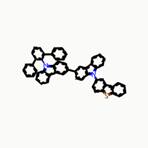 c1ccc(-c2cccc(-c3ccccc3)c2-n2c3ccccc3c3cc(-c4ccc5c(c4)c4ccccc4n5-c4ccc5sc6ccccc6c5c4)ccc32)cc1